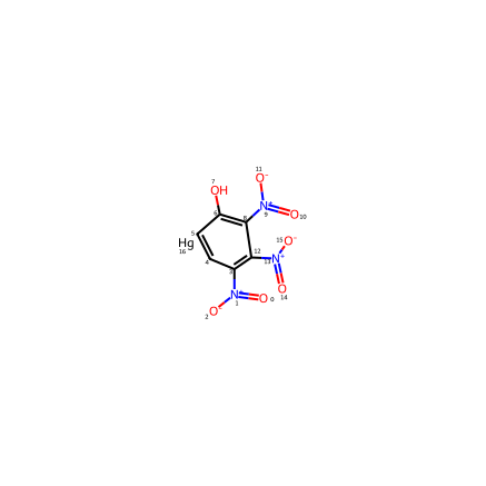 O=[N+]([O-])c1ccc(O)c([N+](=O)[O-])c1[N+](=O)[O-].[Hg]